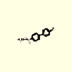 NOBc1ccc(-c2ccc(F)cc2)cc1